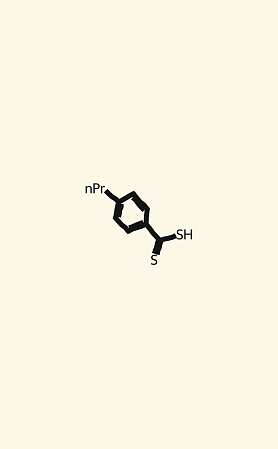 CCCc1ccc(C(=S)S)cc1